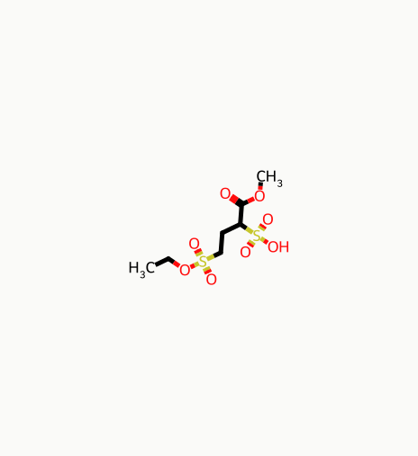 CCOS(=O)(=O)CCC(C(=O)OC)S(=O)(=O)O